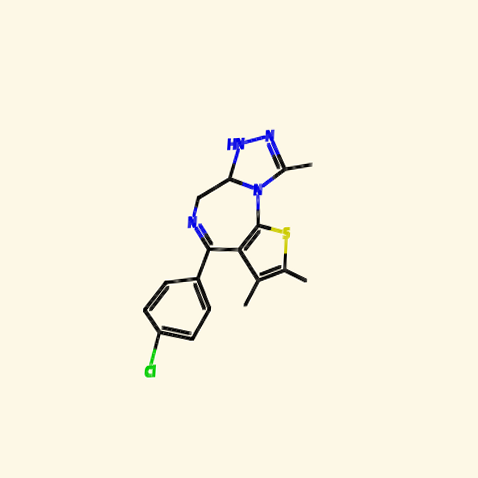 CC1=NNC2CN=C(c3ccc(Cl)cc3)c3c(sc(C)c3C)N12